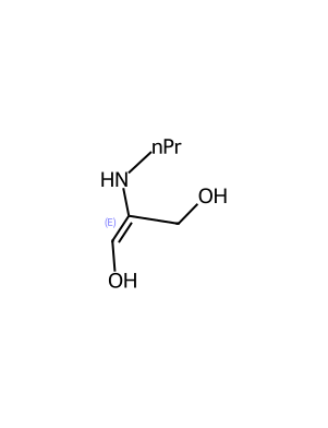 CCCN/C(=C/O)CO